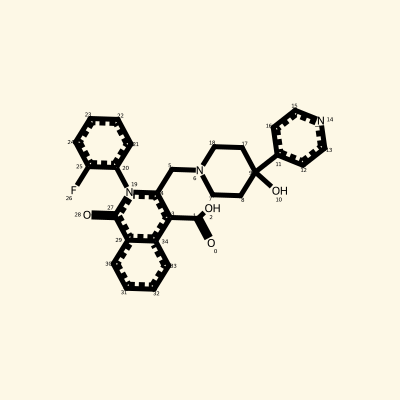 O=C(O)c1c(CN2CCC(O)(c3ccncc3)CC2)n(-c2ccccc2F)c(=O)c2ccccc12